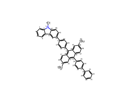 CCn1c2ccccc2c2cc(-c3ccc(-c4c5ccc(C(C)(C)C)cc5c(-c5ccc(-c6ccccc6)cc5)c5ccc(C(C)(C)C)cc45)cc3)ccc21